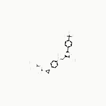 Cc1nc(-c2ccc(C(F)(F)F)cc2)sc1CNc1ccc([C@@H]2C[C@H]2C(=O)NC(C)C)cc1